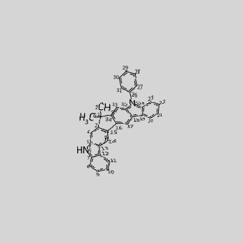 CC1(C)c2cc3[nH]c4ccccc4c3cc2-c2cc3c4ccccc4n(-c4ccccc4)c3cc21